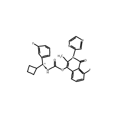 Cc1c(OC(=O)N[C@H](c2cccc(F)c2)C2CCC2)c2cccc(F)c2c(=O)n1-c1cnccn1